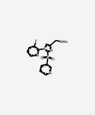 CNCc1cn(-c2ncccc2F)c(S(=O)(=O)c2cccnc2)n1